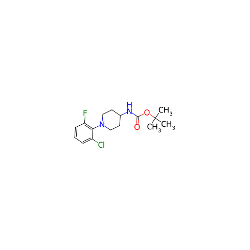 CC(C)(C)OC(=O)NC1CCN(c2c(F)cccc2Cl)CC1